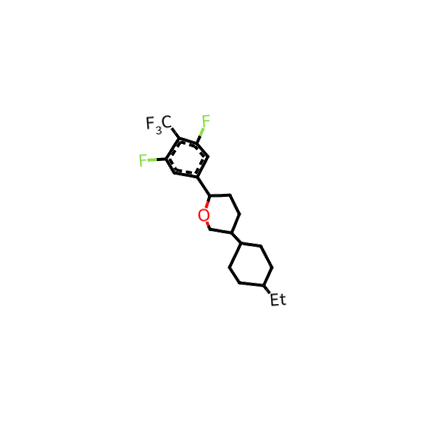 CCC1CCC(C2CCC(c3cc(F)c(C(F)(F)F)c(F)c3)OC2)CC1